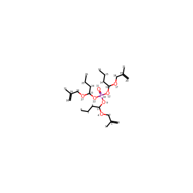 C=C(C)COC(CCC)OP(=O)(OC(CCC)OCC(=C)C)OC(CCC)OCC(=C)C